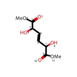 COC(=O)C(O)/C=C/C(O)C(=O)OC